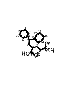 NC(CC(CC(c1ccccc1)c1ccccc1)C(=O)O)C(=O)O